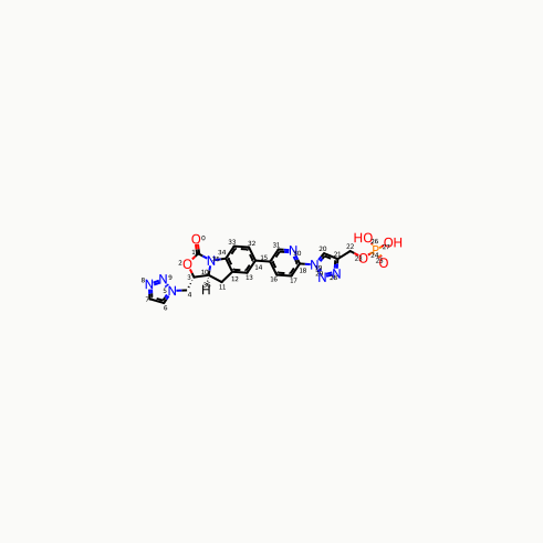 O=C1O[C@@H](Cn2ccnn2)[C@@H]2Cc3cc(-c4ccc(-n5cc(COP(=O)(O)O)nn5)nc4)ccc3N12